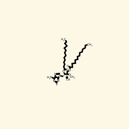 C#C[C@](COC(=O)CCCCCCCCCCCCC)(OC)[C@H](Cn1cnc2c(N)nc(F)nc21)OC(=O)CCCCCCCCCCCCC